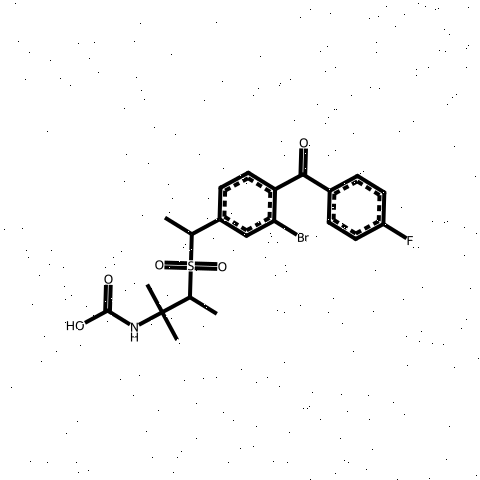 CC(c1ccc(C(=O)c2ccc(F)cc2)c(Br)c1)S(=O)(=O)C(C)C(C)(C)NC(=O)O